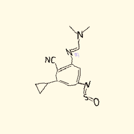 CN(C)/C=N/c1cc(N=S=O)cc(C2CC2)c1C#N